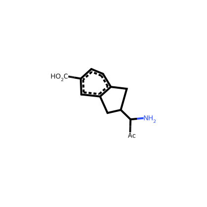 CC(=O)C(N)C1Cc2ccc(C(=O)O)cc2C1